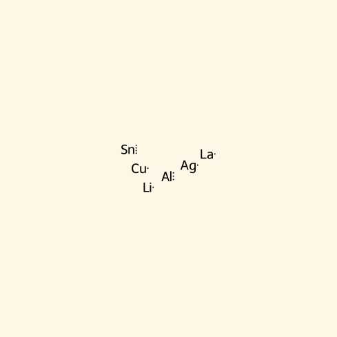 [Ag].[Al].[Cu].[La].[Li].[Sn]